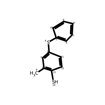 Cc1cc(Sc2ccccc2)ccc1S